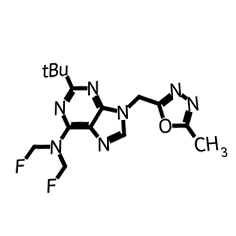 Cc1nnc(Cn2cnc3c(N(CF)CF)nc(C(C)(C)C)nc32)o1